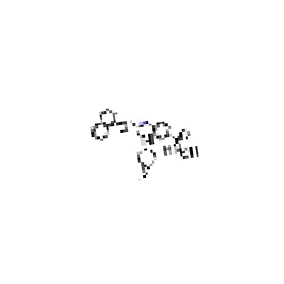 CCN1CCC(NC/C(=C\c2ccc(C(=O)NO)cc2)COc2cccc3ccccc23)CC1